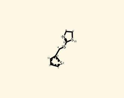 c1csc(CSC2=NCCS2)c1